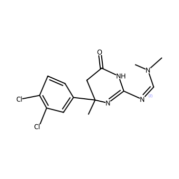 CN(C)/C=N\C1=NC(C)(c2ccc(Cl)c(Cl)c2)CC(=O)N1